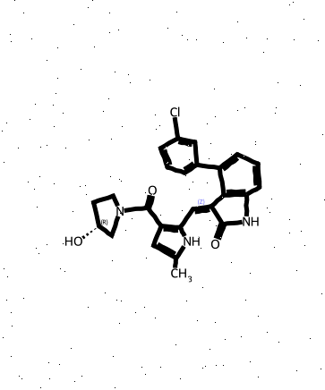 Cc1cc(C(=O)N2CC[C@@H](O)C2)c(/C=C2\C(=O)Nc3cccc(-c4cccc(Cl)c4)c32)[nH]1